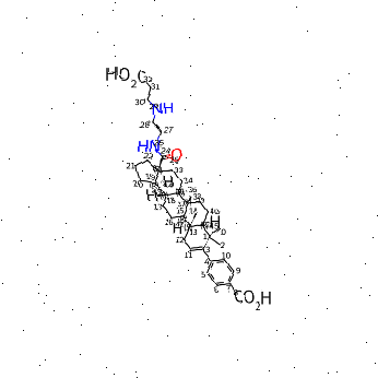 CC1(C)C(c2ccc(C(=O)O)cc2)=CC[C@]2(C)[C@H]3CC[C@@H]4[C@H]5CCC[C@]5(C(=O)NCCNCCC(=O)O)CC[C@@]4(C)[C@]3(C)CC[C@@H]12